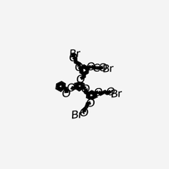 O=C(OCc1cc(OCc2cc(OCCCOBr)cc(OCCCOBr)c2)cc(OCc2cc(OCCCOBr)cc(OCCCOBr)c2)c1)c1ccccc1